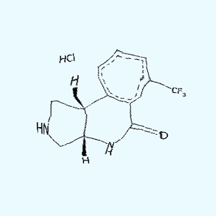 Cl.O=C1N[C@@H]2CNC[C@@H]2c2cccc(C(F)(F)F)c21